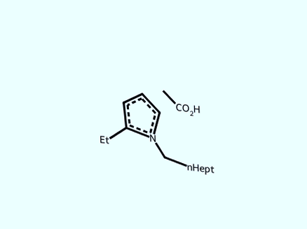 CC(=O)O.CCCCCCCCn1cccc1CC